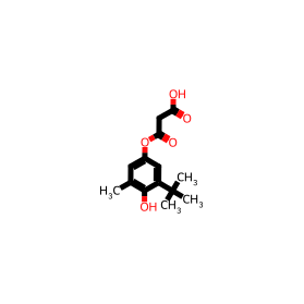 Cc1cc(OC(=O)CC(=O)O)cc(C(C)(C)C)c1O